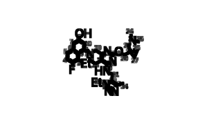 CCc1c(F)ccc2cc(O)cc(N3CCc4c(nc(OCC5(CN(C)C)CC5)nc4NCc4c(C)nnn4CC)C3)c12